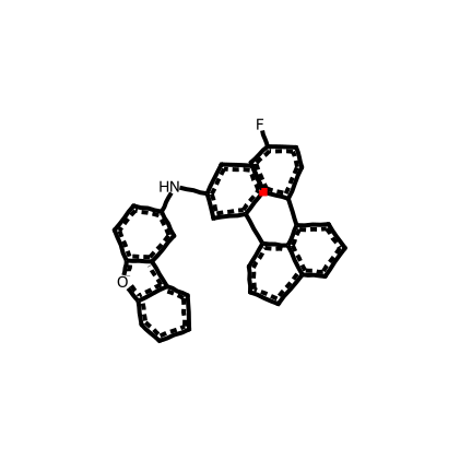 Fc1ccc(-c2cccc3cccc(-c4cccc(Nc5ccc6oc7ccccc7c6c5)c4)c23)cc1